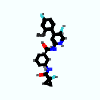 COc1cc(F)ccc1-c1cc(NC(=O)[C@H]2CCC[C@@H](NC(=O)C3(F)CC3)C2)ncc1F